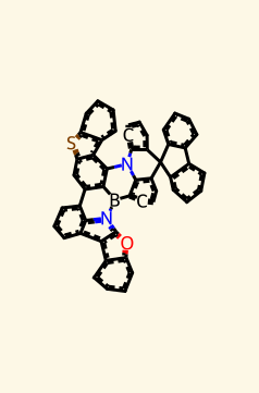 c1ccc2c(c1)-c1ccccc1C21c2ccccc2N2c3c(cccc31)B1c3c(cc4sc5ccccc5c4c32)-c2cccc3c4c5ccccc5oc4n1c23